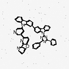 c1ccc(-c2nc(-c3ccccc3)nc(-n3c4ccccc4c4cc(-c5ccc6c7ccccc7n(-c7cncc(-c8ccc9oc%10cccnc%10c9n8)c7)c6c5)ccc43)n2)cc1